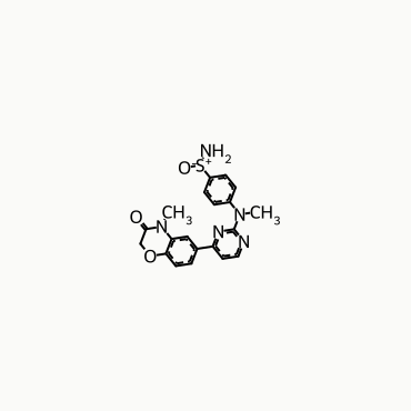 CN1C(=O)COc2ccc(-c3ccnc(N(C)c4ccc([S+](N)[O-])cc4)n3)cc21